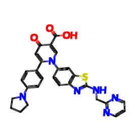 O=C(O)c1cn(-c2ccc3nc(NCc4ncccn4)sc3c2)c(-c2ccc(N3CCCC3)cc2)cc1=O